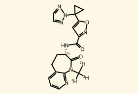 [2H]C([2H])([2H])N1C(=O)[C@@H](NC(=O)c2cc(C3(n4nccn4)CC3)on2)CCc2cccnc21